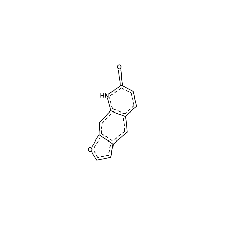 O=c1ccc2cc3ccoc3cc2[nH]1